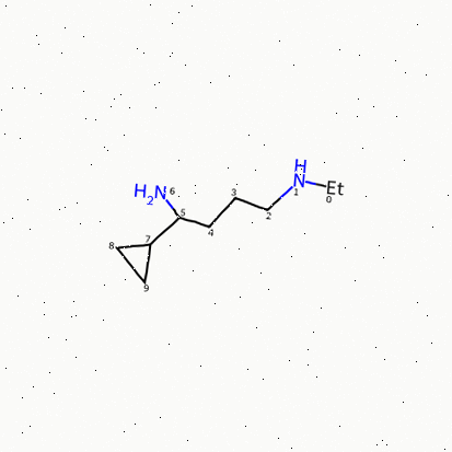 CCNCCCC(N)C1CC1